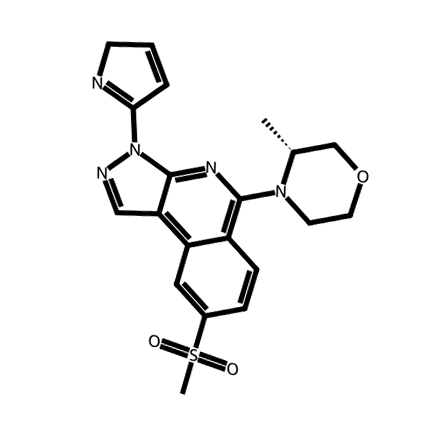 C[C@@H]1COCCN1c1nc2c(cnn2C2=NCC=C2)c2cc(S(C)(=O)=O)ccc12